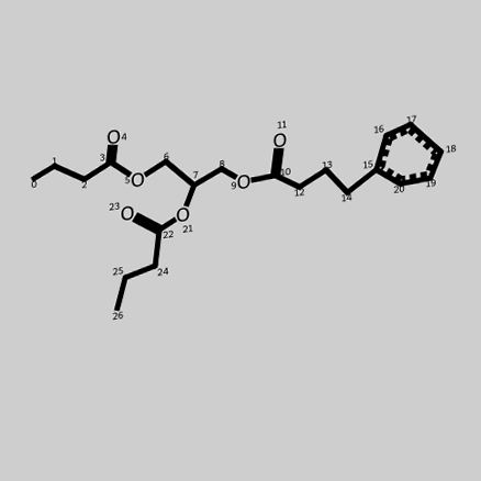 CCCC(=O)OCC(COC(=O)CCCc1ccccc1)OC(=O)CCC